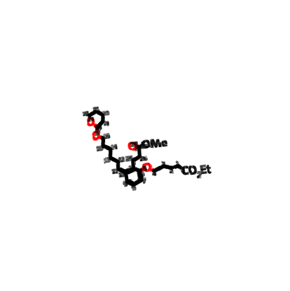 CCOC(=O)CCCCOc1cccc(CCCCCCOC2CCCCO2)c1CCC(=O)OC